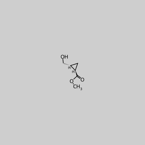 COC(=O)[C@@H]1C[C@H]1CO